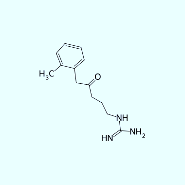 Cc1ccccc1CC(=O)CCCNC(=N)N